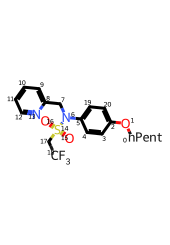 CCCCCOc1ccc(N(Cc2ccccn2)S(=O)(=O)CC(F)(F)F)cc1